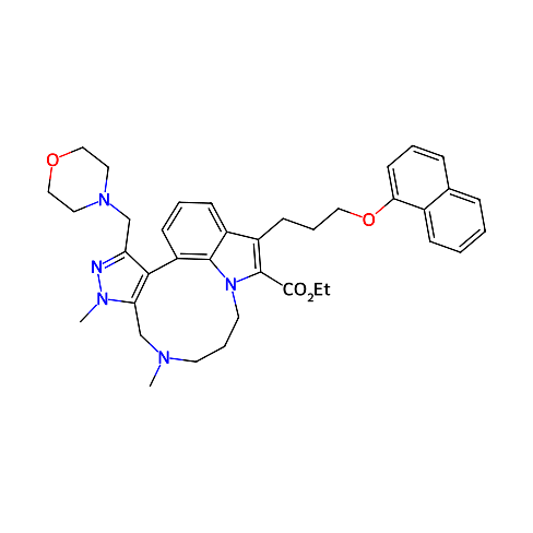 CCOC(=O)c1c(CCCOc2cccc3ccccc23)c2cccc3c2n1CCCN(C)Cc1c-3c(CN2CCOCC2)nn1C